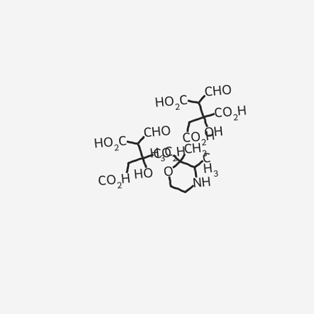 CC1NCCOC1(C)C.O=CC(C(=O)O)C(O)(CC(=O)O)C(=O)O.O=CC(C(=O)O)C(O)(CC(=O)O)C(=O)O